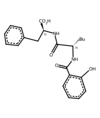 CCC(C)[C@H](NC(=O)c1ccccc1O)C(=O)N[C@@H](Cc1ccccc1)C(=O)O